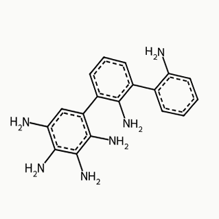 Nc1ccccc1-c1cccc(-c2cc(N)c(N)c(N)c2N)c1N